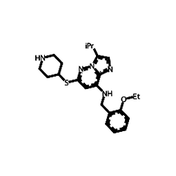 CCOc1ccccc1CNc1cc(SC2CCNCC2)nn2c(C(C)C)cnc12